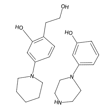 OCCc1ccc(N2CCCCC2)cc1O.Oc1cccc(N2CCNCC2)c1